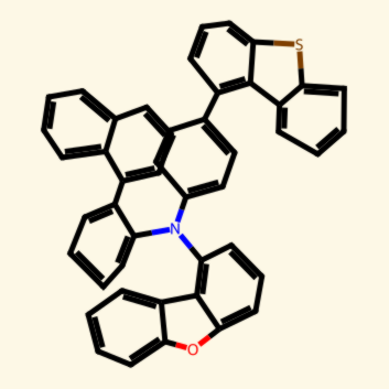 c1ccc(N(c2ccc(-c3cccc4sc5ccccc5c34)cc2)c2cccc3oc4ccccc4c23)c(-c2cccc3ccccc23)c1